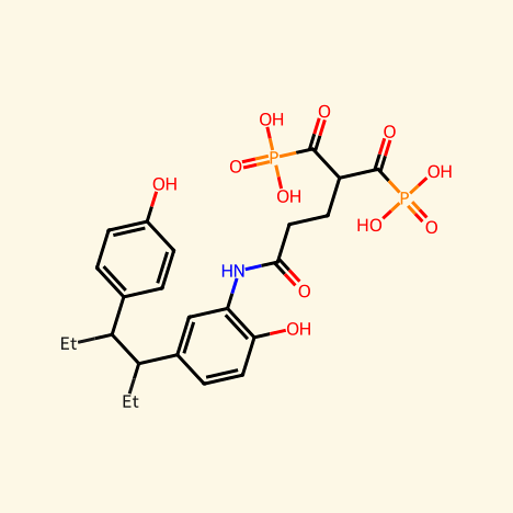 CCC(c1ccc(O)cc1)C(CC)c1ccc(O)c(NC(=O)CCC(C(=O)P(=O)(O)O)C(=O)P(=O)(O)O)c1